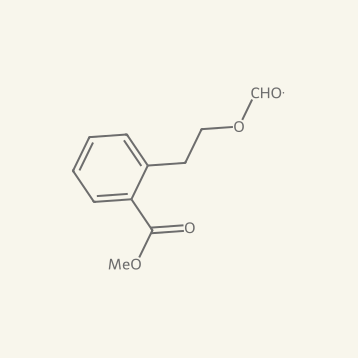 COC(=O)c1ccccc1CCO[C]=O